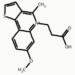 COc1ccc2c3sccc3c(C)[n+](CCC(=O)O)c2c1